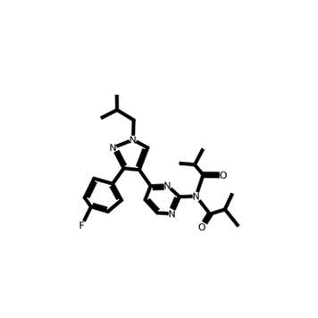 CC(C)Cn1cc(-c2ccnc(N(C(=O)C(C)C)C(=O)C(C)C)n2)c(-c2ccc(F)cc2)n1